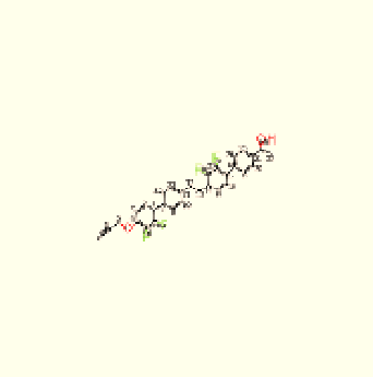 C#CCOc1ccc(-c2ccc(CCc3ccc(-c4ccc(C(C)O)cc4)c(F)c3F)cc2)c(F)c1F